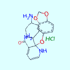 Cl.NC(=O)C1=CC=CNC1(Oc1ccc2c(c1)OCO2)C1CCC(N)CC1